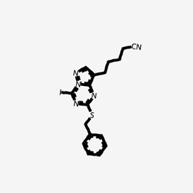 N#CCCCCc1cnn2c(I)nc(SCc3ccccc3)nc12